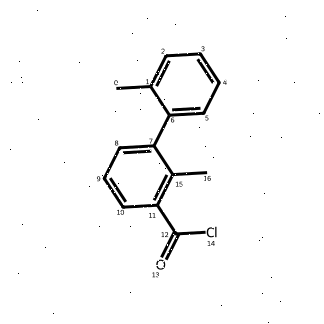 Cc1ccccc1-c1cccc(C(=O)Cl)c1C